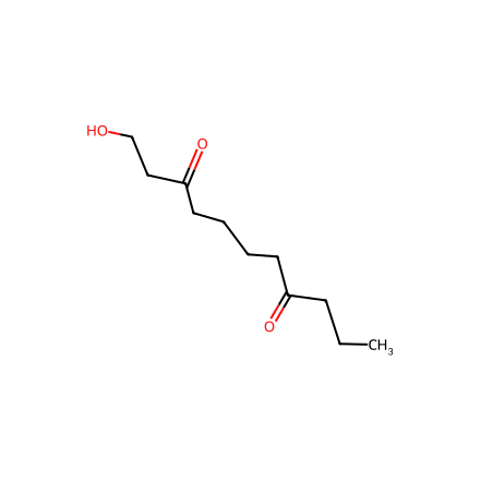 CCCC(=O)CCCCC(=O)CCO